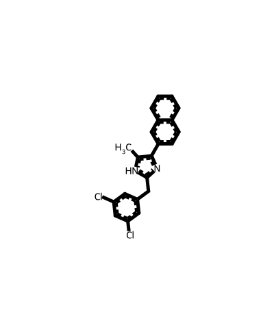 Cc1[nH]c(Cc2cc(Cl)cc(Cl)c2)nc1-c1ccc2ccccc2c1